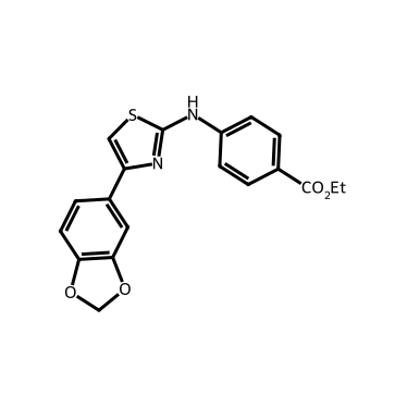 CCOC(=O)c1ccc(Nc2nc(-c3ccc4c(c3)OCO4)cs2)cc1